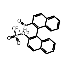 O=[PH2]c1ccc2ccccc2c1-c1c(OS(=O)(=O)C(F)(F)F)ccc2ccccc12